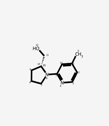 Cc1ccnc(N2CCC[C@@H]2CO)c1